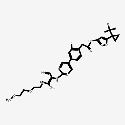 COCCOCCN/C(C)=C(\C=N)Nc1ncc(-c2ccc(CC(=O)Nc3cc(C4(C(F)(F)F)CC4)on3)c(F)c2)cn1